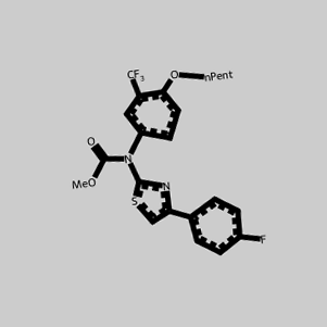 CCCCCOc1ccc(N(C(=O)OC)c2nc(-c3ccc(F)cc3)cs2)cc1C(F)(F)F